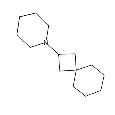 C1CCN(C2CC3(CCCCC3)C2)CC1